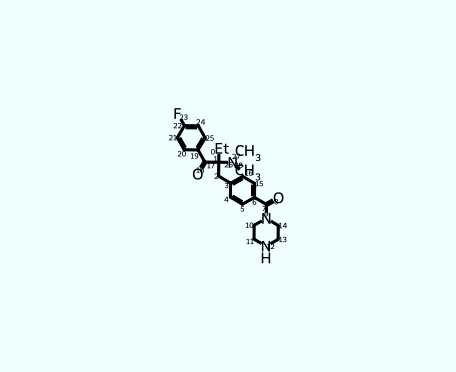 CCC(Cc1ccc(C(=O)N2CCNCC2)cc1)(C(=O)c1ccc(F)cc1)N(C)C